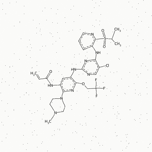 C=CC(=O)Nc1cc(Nc2ncc(Cl)c(Nc3cccnc3S(=O)(=O)C(C)C)n2)c(OCC(F)(F)F)nc1N1CCN(C)CC1